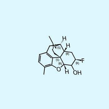 Cc1ccc2c3c1O[C@H]1C(O)[C@H](F)C[C@H]4[C@H](C2)N(C)CC[C@]314